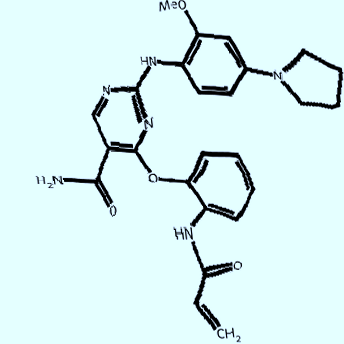 C=CC(=O)Nc1ccccc1Oc1nc(Nc2ccc(N3CCCC3)cc2OC)ncc1C(N)=O